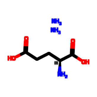 N.N.N[C@@H](CCC(=O)O)C(=O)O